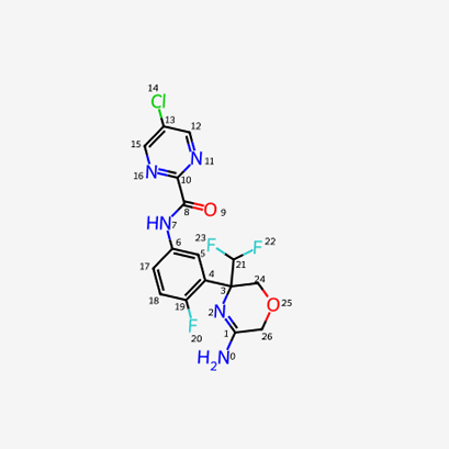 NC1=NC(c2cc(NC(=O)c3ncc(Cl)cn3)ccc2F)(C(F)F)COC1